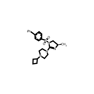 CC(C)c1ccc(S(=O)(=O)N2C[C@@H](C)N=C2N2CCN(C3CCC3)CC2)cc1